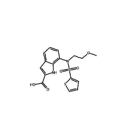 COCCN(c1cccc2cc(C(=O)O)[nH]c12)S(=O)(=O)c1cccs1